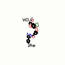 CSc1ccc(C2CCC(NC(=O)c3ccc(Oc4cc5c(cc4Cl)C(OC(=O)O)CCO5)cc3)C2)cc1